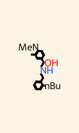 CCCCc1ccccc1CCNCC(O)c1ccc(NC)c(C)c1